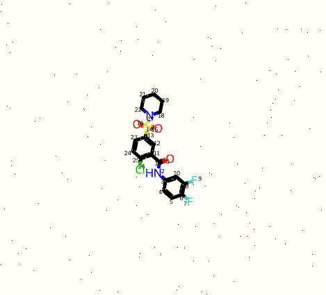 O=C(Nc1ccc(F)c(F)c1)c1cc(S(=O)(=O)N2CC[CH]CC2)ccc1Cl